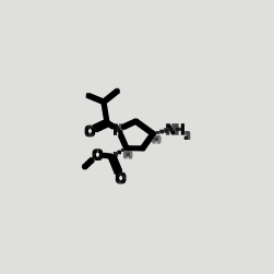 COC(=O)[C@H]1C[C@@H](N)CN1C(=O)C(C)C